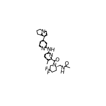 CC(=O)NC[C@H]1CCC(F)(F)CN1C(=O)c1nc(Nc2cc(-c3ccn4c3CCC4)ccn2)ccc1C